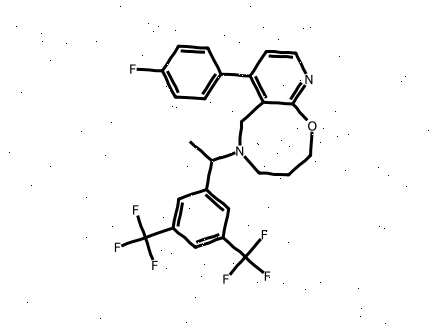 CC(c1cc(C(F)(F)F)cc(C(F)(F)F)c1)N1CCCOc2nccc(-c3ccc(F)cc3)c2C1